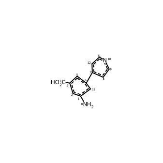 Nc1cc(C(=O)O)cc(-c2ccncc2)c1